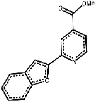 COC(=O)c1ccnc(-c2cc3ccccc3o2)c1